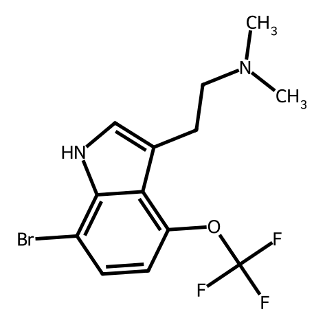 CN(C)CCc1c[nH]c2c(Br)ccc(OC(F)(F)F)c12